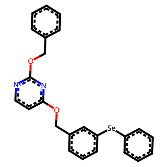 c1ccc(COc2nccc(OCc3cccc([Se]c4ccccc4)c3)n2)cc1